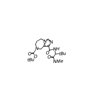 CNC(=O)C(NC(=O)c1ncn2c1CN(C(=O)OC(C)(C)C)CCC2)C(C)(C)C